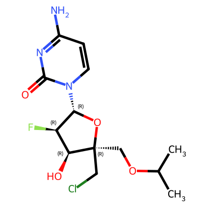 CC(C)OC[C@@]1(CCl)O[C@@H](n2ccc(N)nc2=O)[C@H](F)[C@@H]1O